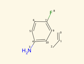 C=CC.Nc1ccc(F)cc1